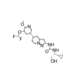 COc1ncc(-c2ccn3nc(NC(=O)N[C@@H](CO)C4CC4)cc3c2)cc1OC(F)F